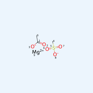 CC(=O)[O-].CS(=O)(=O)[O-].[Mg+2]